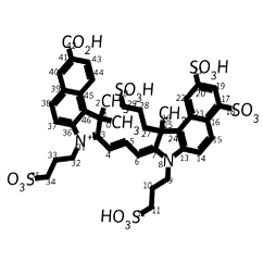 CC1(C)C(/C=C/C=C2/N(CCCS(=O)(=O)O)c3ccc4c(S(=O)(=O)O)cc(S(=O)(=O)O)cc4c3C2(C)CCCS(=O)(=O)O)=[N+](CCCS(=O)(=O)O)c2ccc3cc(C(=O)O)ccc3c21